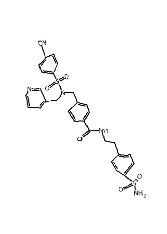 N#Cc1ccc(S(=O)(=O)N(Cc2ccc(C(=O)NCCc3ccc(S(N)(=O)=O)cc3)cc2)Cc2cccnc2)cc1